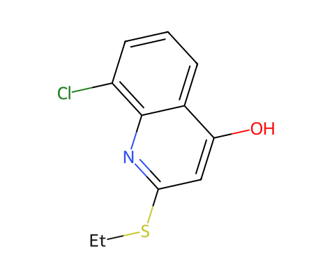 CCSc1cc(O)c2cccc(Cl)c2n1